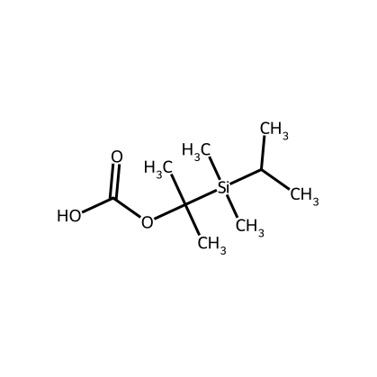 CC(C)[Si](C)(C)C(C)(C)OC(=O)O